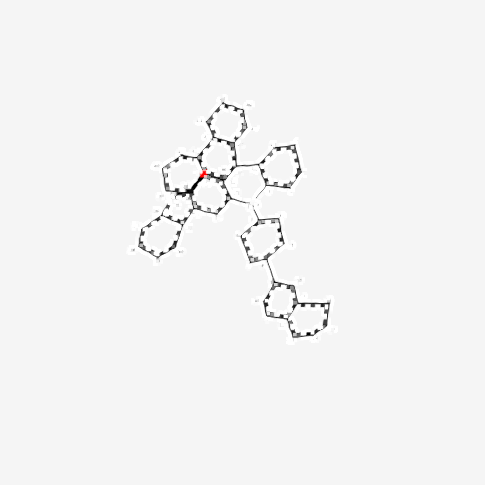 c1ccc(N(c2ccc(-c3ccc4ccccc4c3)cc2)c2ccc3sc4ccccc4c3c2)c(-c2cc3ccccc3c3ccccc23)c1